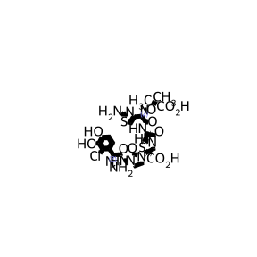 CC(C)(O/N=C(\C(=O)N[C@@H]1C(=O)N2C[C@@](C(=O)O)(N3CCN(NC(=O)/C(=N\N)c4ccc(O)c(O)c4Cl)C3=O)S[C@H]12)c1csc(N)n1)C(=O)O